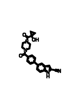 N#Cc1cc2cc(-c3ccc(C(=O)N4CCN(C(=O)C5(O)CC5)CC4)cc3)ccc2[nH]1